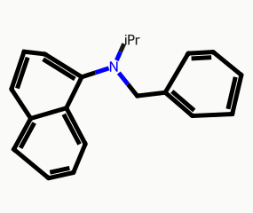 CC(C)N(Cc1ccccc1)c1cccc2ccccc12